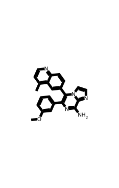 COc1cccc(-c2nc(N)c3nccn3c2-c2ccc3nccc(C)c3c2)c1